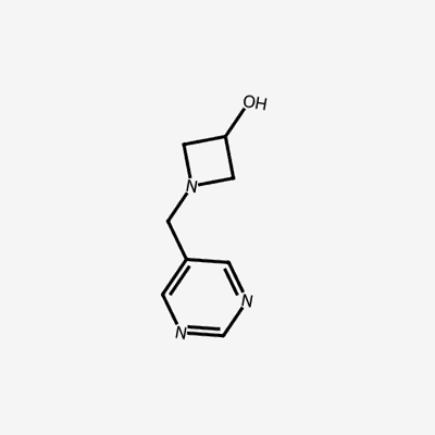 OC1CN(Cc2cncnc2)C1